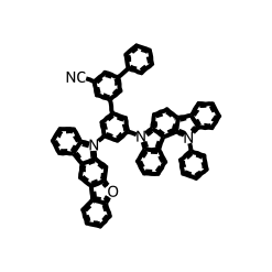 N#Cc1cc(-c2ccccc2)cc(-c2cc(-n3c4ccccc4c4cc5c(cc43)oc3ccccc35)cc(-n3c4ccccc4c4c3ccc3c5ccccc5n(-c5ccccc5)c34)c2)c1